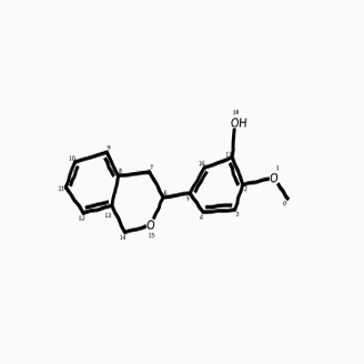 COc1ccc(C2Cc3ccccc3CO2)cc1O